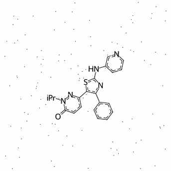 CC(C)n1nc(-c2sc(Nc3cccnc3)nc2-c2ccccc2)ccc1=O